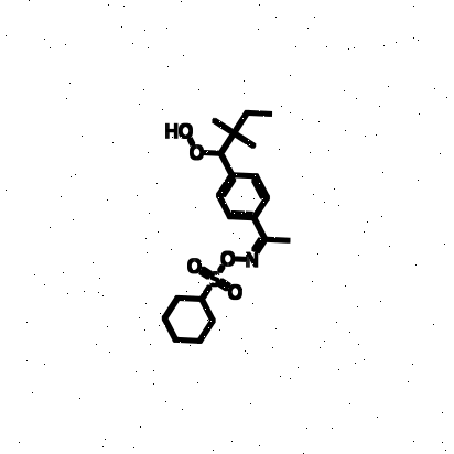 CCC(C)(C)C(OO)c1ccc(/C(C)=N\OS(=O)(=O)C2CCCCC2)cc1